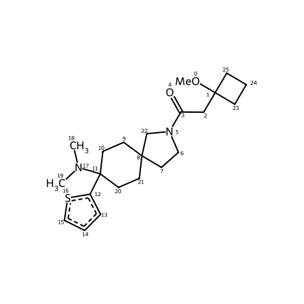 COC1(CC(=O)N2CCC3(CCC(c4cccs4)(N(C)C)CC3)C2)CCC1